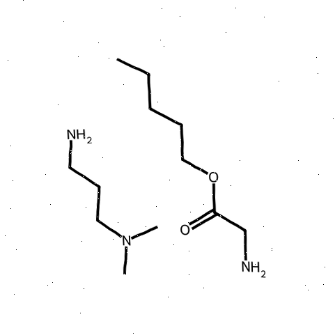 CCCCCOC(=O)CN.CN(C)CCCN